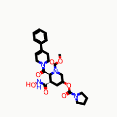 COC(=O)N1CC(OC(=O)N2CCCC2)C[C@H](C(=O)NO)[C@H]1C(=O)N1CC=C(c2ccccc2)CC1